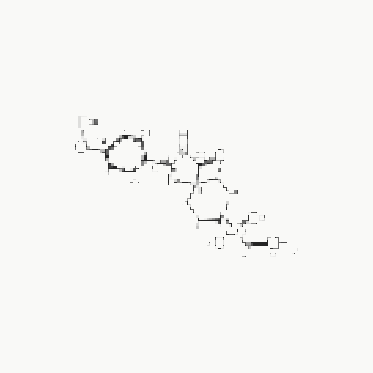 C=CS(=O)(=O)N1CCC2(CC1)N=C(c1ccc(OF)cc1)NC2=O